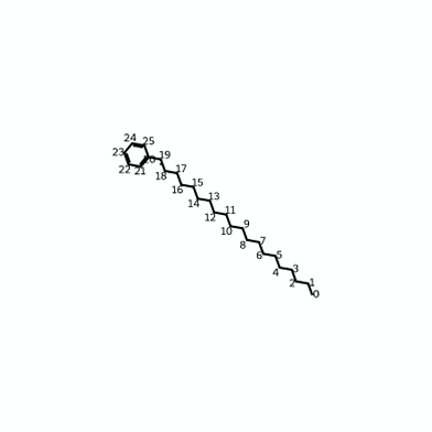 CCCCCCCCCCCCCCCCCCC[CH]c1ccccc1